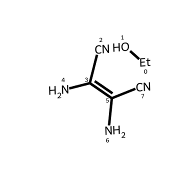 CCO.N#C/C(N)=C(/N)C#N